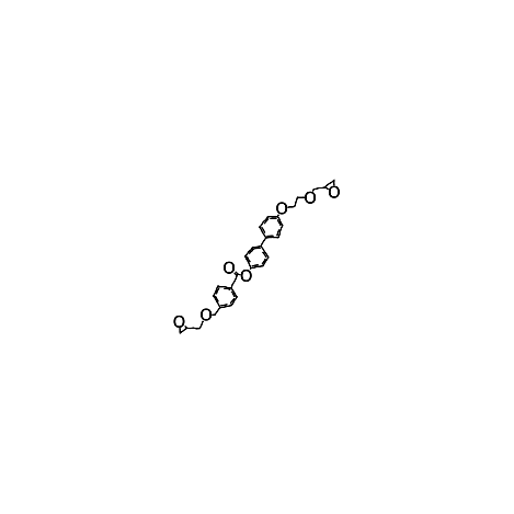 O=C(Oc1ccc(-c2ccc(OCCOCC3CO3)cc2)cc1)c1ccc(COCC2CO2)cc1